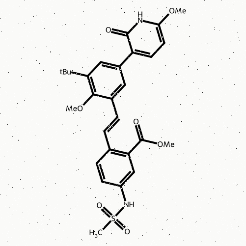 COC(=O)c1cc(NS(C)(=O)=O)ccc1/C=C/c1cc(-c2ccc(OC)[nH]c2=O)cc(C(C)(C)C)c1OC